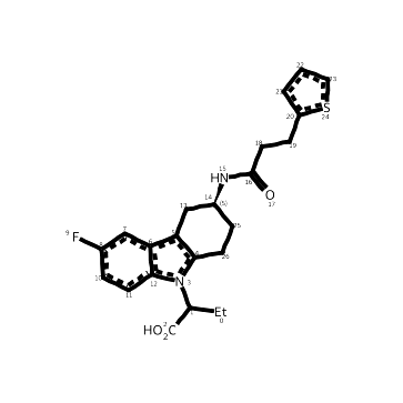 CCC(C(=O)O)n1c2c(c3cc(F)ccc31)C[C@@H](NC(=O)CCc1cccs1)CC2